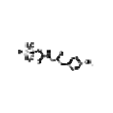 Cc1ccc(CC(=O)CNC(=O)OC(C)(C)C)cc1